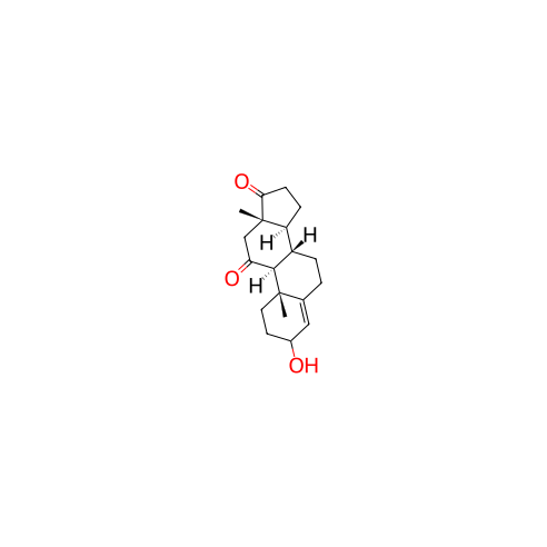 C[C@]12CCC(O)C=C1CC[C@@H]1[C@@H]2C(=O)C[C@]2(C)C(=O)CC[C@@H]12